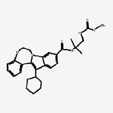 CC(C)(CNC(=O)OC(C)(C)C)NC(=O)c1ccc2c(C3CCCCC3)c3n(c2c1)CCOc1ccccc1-3